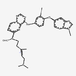 C/C(=C\CN(C)C)CCN(C=O)c1ccc2ncnc(Nc3ccc(Oc4ccc5c(c4)ncn5C)c(C)c3)c2n1